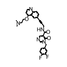 CN(C)CCOc1ccnc2ccc(C#CCNC(=O)c3cncn(Cc4ccc(F)c(F)c4)c3=O)cc12